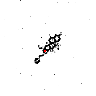 C[C@]12C=CC(=O)C=C1[C@@H](F)C[C@H]1[C@@H]3C[C@H]4CN(CCn5ccnc5)O[C@@]4(C(=O)SCF)[C@@]3(C)C[C@H](O)[C@@]12F